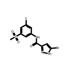 CS(=O)(=O)c1cc(F)cc(NC(=O)c2cc(Br)[nH]n2)c1